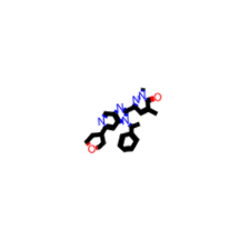 Cc1cc(-c2nc3cnc(C4CCOCC4)cc3n2C(C)c2ccccc2)nn(C)c1=O